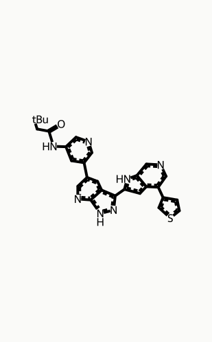 CC(C)(C)CC(=O)Nc1cncc(-c2cnc3[nH]nc(-c4cc5c(-c6ccsc6)cncc5[nH]4)c3c2)c1